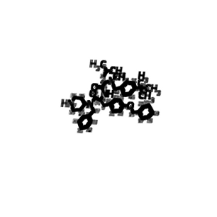 CC(C)C[C@@H](C(=O)N[C@@H](Cc1ccc(OCc2ccccc2)cc1)C(=O)N(Cc1ccccc1)C1CCNCC1)N(C)Cc1ccc(C(C)(C)C)cc1